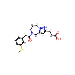 CSc1cccc(CC(=O)N2CCCn3nc(CCC(=O)O)cc3C2)c1